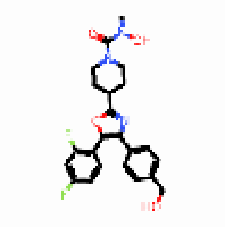 CN(O)C(=O)N1CCC(c2nc(-c3ccc(CO)cc3)c(-c3ccc(F)cc3F)o2)CC1